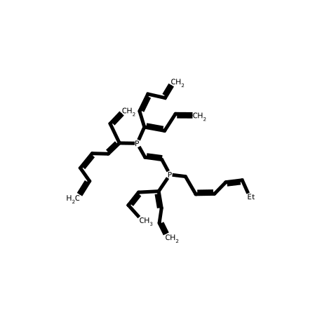 C=C/C=C\C=C(/C=C)P(C=CP(C/C=C\C=C/CC)C(/C=C\C)=C/C=C)C(/C=C\C=C)=C/C=C